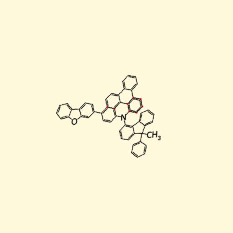 CC1(c2ccccc2)c2ccccc2-c2c(N(c3ccc(-c4ccc5c(c4)oc4ccccc45)cc3)c3ccccc3-c3ccccc3-c3ccccc3-c3ccccc3)cccc21